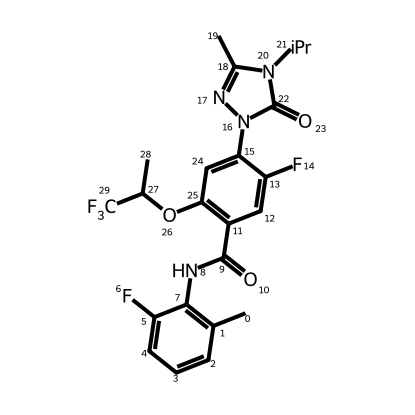 Cc1cccc(F)c1NC(=O)c1cc(F)c(-n2nc(C)n(C(C)C)c2=O)cc1OC(C)C(F)(F)F